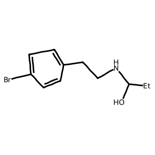 CCC(O)NCCc1ccc(Br)cc1